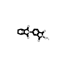 CN1C(=O)c2ccc(N3C(=O)C4C5CCC(O5)C4C3=O)cc2C1=O